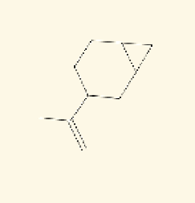 C=C(C)C1CCC2CC2C1